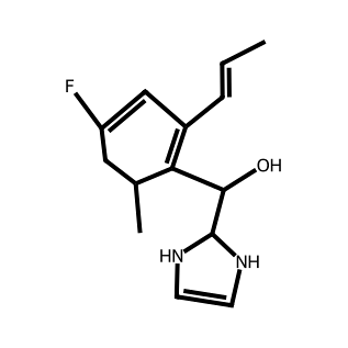 C/C=C/C1=C(C(O)C2NC=CN2)C(C)CC(F)=C1